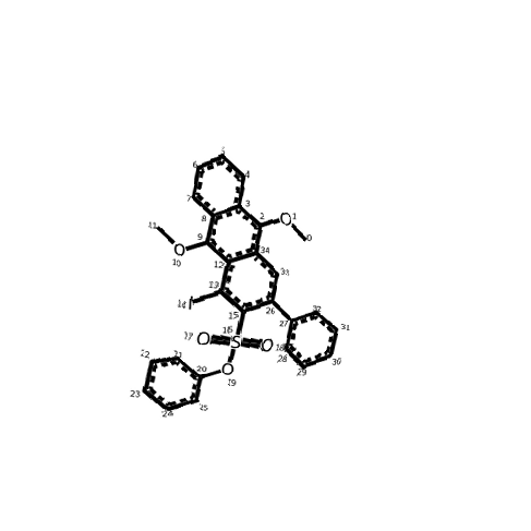 COc1c2ccccc2c(OC)c2c(I)c(S(=O)(=O)Oc3ccccc3)c(-c3ccccc3)cc12